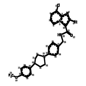 CCc1nc2c(Cl)cccn2c1C(=O)NCc1ccc(N2CCC(c3ccc(OC(F)(F)F)cc3)CC2)cc1